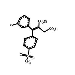 CCOC(=O)C(CC(=O)O)=C(c1ccc(S(C)(=O)=O)cc1)c1cccc(F)c1